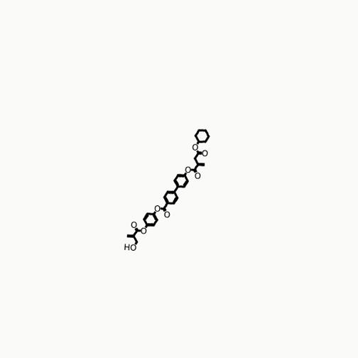 C=C(CO)C(=O)Oc1ccc(OC(=O)c2ccc(-c3ccc(OC(=O)C(=C)CC(=O)OC4CCCCC4)cc3)cc2)cc1